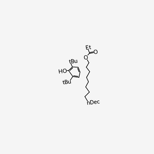 CC(C)(C)c1cccc(C(C)(C)C)c1O.CCCCCCCCCCCCCCCCCCOC(=O)CC